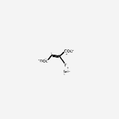 O=C([O-])C=C(F)C(=O)[O-].[Sr+2]